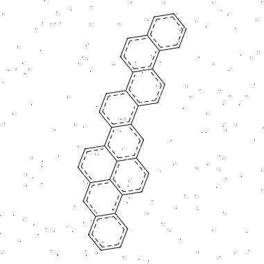 c1ccc2c(c1)ccc1c2ccc2c1ccc1c2cc2ccc3c4ccccc4cc4ccc1c2c43